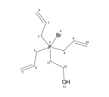 C=CCP(Br)(CC=C)(CC=C)CCO